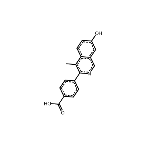 Cc1c(-c2ccc(C(=O)O)cc2)ncc2cc(O)ccc12